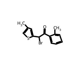 Cc1csc(C(Br)C(=O)c2ccccc2C)c1